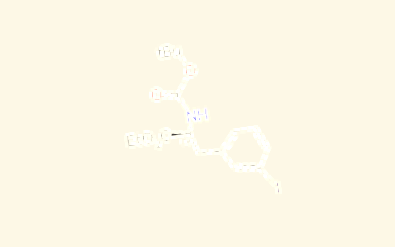 CCOC(=O)[C@H](Cc1cccc(I)c1)NC(=O)OC(C)(C)C